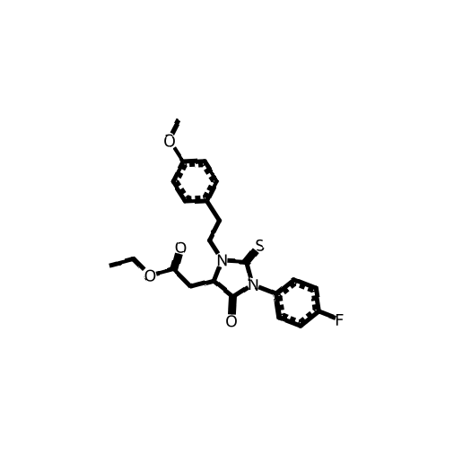 CCOC(=O)CC1C(=O)N(c2ccc(F)cc2)C(=S)N1CCc1ccc(OC)cc1